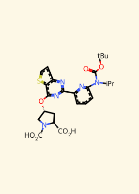 CC(C)N(C(=O)OC(C)(C)C)c1cccc(-c2nc(O[C@@H]3C[C@@H](C(=O)O)N(C(=O)O)C3)c3sccc3n2)n1